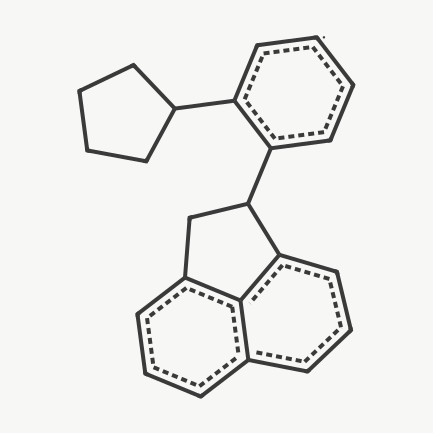 [c]1ccc(C2Cc3cccc4cccc2c34)c(C2CCCC2)c1